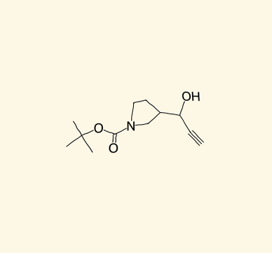 C#CC(O)C1CCN(C(=O)OC(C)(C)C)C1